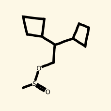 CS(=O)OCC(C1CCC1)C1CCC1